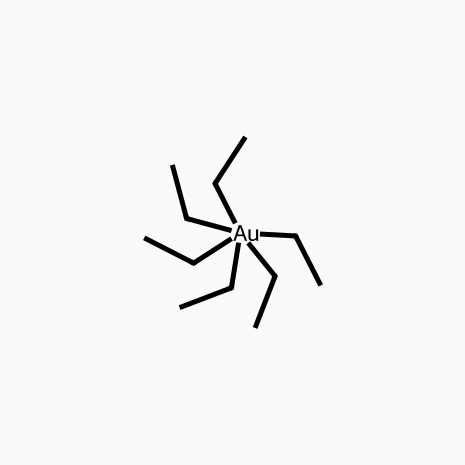 C[CH2][Au]([CH2]C)([CH2]C)([CH2]C)([CH2]C)[CH2]C